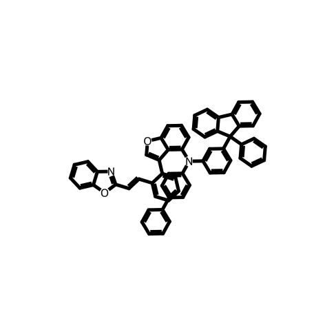 C(=C\c1ccccc1-c1coc2cccc(N(c3ccc(-c4ccccc4)cc3)c3cccc(C4(c5ccccc5)c5ccccc5-c5ccccc54)c3)c12)/c1nc2ccccc2o1